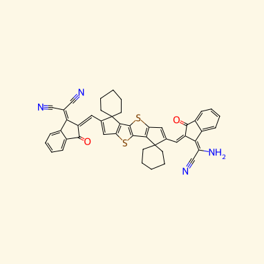 N#CC(C#N)=C1/C(=C/C2=Cc3sc4c5c(sc4c3C23CCCCC3)C=C(/C=C2\C(=O)c3ccccc3\C2=C(/N)C#N)C52CCCCC2)C(=O)c2ccccc21